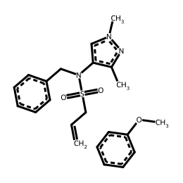 C=CCS(=O)(=O)N(Cc1ccccc1)c1cn(C)nc1C.COc1ccccc1